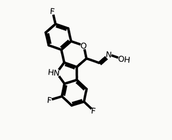 ON=CC1Oc2cc(F)ccc2-c2[nH]c3c(F)cc(F)cc3c21